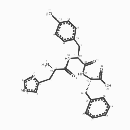 N[C@@H](Cc1c[nH]cn1)C(=O)N[C@@H](Cc1ccc(O)cc1)C(=O)N[C@@H](Cc1ccccc1)C(=O)O